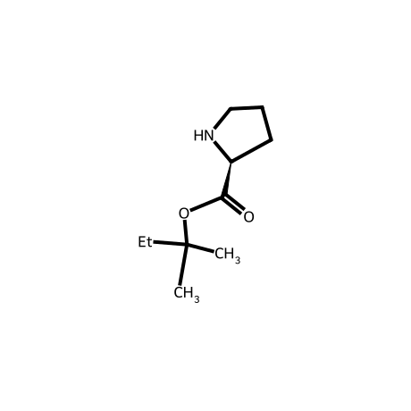 CCC(C)(C)OC(=O)[C@@H]1CCCN1